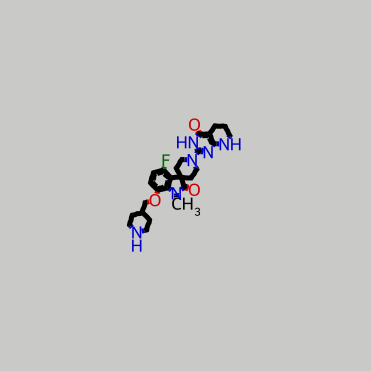 CN1C(=O)C2(CCN(c3nc4c(c(=O)[nH]3)CCCN4)CC2)c2c(F)ccc(OCC3CCNCC3)c21